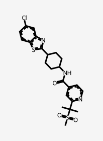 CC(C)(c1cc(C(=O)NC2CCC(c3nc4cc(Cl)ccc4s3)CC2)ccn1)S(C)(=O)=O